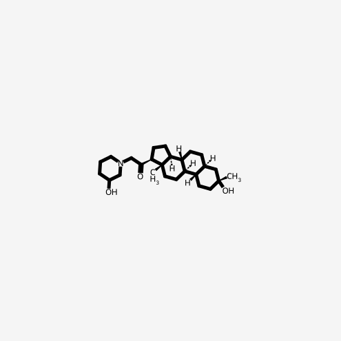 C[C@@]1(O)CC[C@H]2[C@@H](CC[C@@H]3[C@@H]2CC[C@]2(C)[C@@H](C(=O)CN4CCCC(O)C4)CC[C@@H]32)C1